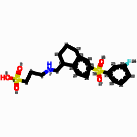 O=S(=O)(O)CCCNCC1CCCc2cc(S(=O)(=O)c3cccc(F)c3)ccc21